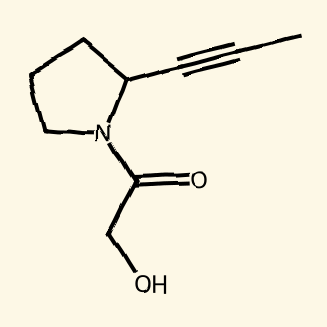 CC#CC1CCCN1C(=O)CO